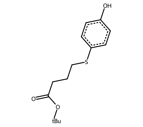 CC(C)(C)OC(=O)CCCSc1ccc(O)cc1